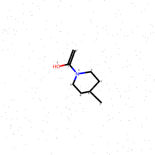 C=C(O)N1CCC(C)CC1